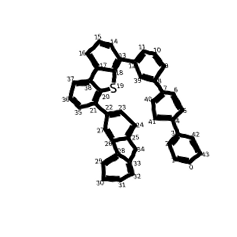 c1ccc(-c2ccc(-c3cccc(-c4cccc5c4sc4c(-c6ccc7c(c6)-c6ccccc6C7)cccc45)c3)cc2)cc1